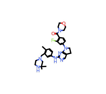 Cc1ccc(Nc2ncc3c(n2)N(c2ccc(C(=O)N4CCOCC4)c(F)c2)CC3)cc1CN1CCNC(C)(C)C1